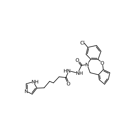 O=C(CCCCc1cnc[nH]1)NNC(=O)N1Cc2ccccc2Oc2ccc(Cl)cc21